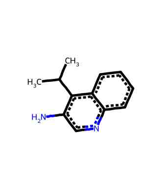 CC(C)c1c(N)cnc2ccccc12